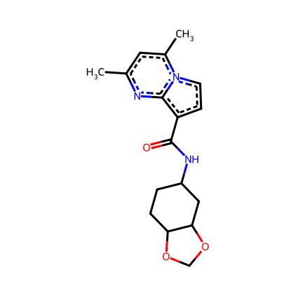 Cc1cc(C)n2ccc(C(=O)NC3CCC4OCOC4C3)c2n1